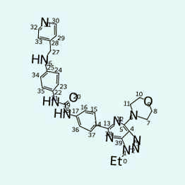 CCn1nnc2c(N3CCOCC3)nc(-c3ccc(NC(=O)Nc4ccc(NCc5ccncc5)cc4)cc3)nc21